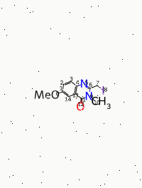 COc1ccc2nc(CI)n(C)c(=O)c2c1